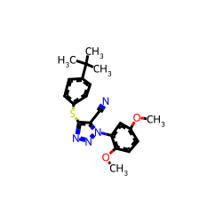 COc1ccc(OC)c(-n2nnc(Sc3ccc(C(C)(C)C)cc3)c2C#N)c1